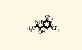 CC(N)C(O)c1cc(C(F)(F)F)cc(C(F)(F)F)c1